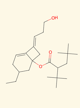 CCC1CC=C2/C(=C/CCO)CC2(OC(=O)C(CC(C)(C)C)C(C)(C)C)C1